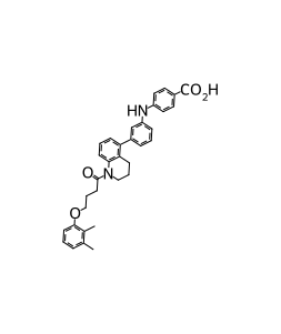 Cc1cccc(OCCCC(=O)N2CCCc3c(-c4cccc(Nc5ccc(C(=O)O)cc5)c4)cccc32)c1C